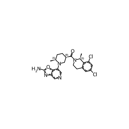 C[C@H]1c2c(Cl)cc(Cl)cc2CCN1C(=O)[C@@H]1CC[C@H](C)N(c2cncc3nc(N)oc23)C1